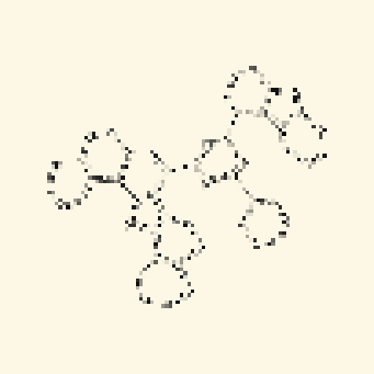 c1ccc(-c2nc(-c3cccc4sc5ccccc5c34)nc(-c3cc4ccc5ccccc5c4c4sc5c6ccccc6ccc5c34)n2)cc1